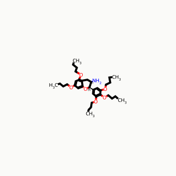 CCCCOc1cc(OCCCC)c2c(c1)O[C@H](c1cc(OCCCC)c(OCCCC)c(OCCCC)c1)[C@H](N)C2